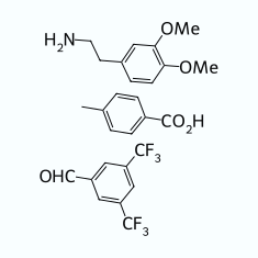 COc1ccc(CCN)cc1OC.Cc1ccc(C(=O)O)cc1.O=Cc1cc(C(F)(F)F)cc(C(F)(F)F)c1